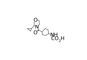 O=C(O)NC1CCC(C(=O)N2CCOCC2C2CC2)CC1